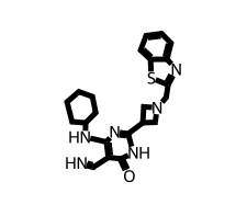 N=Cc1c(NC2CCCCC2)nc(C2CN(Cc3nc4ccccc4s3)C2)[nH]c1=O